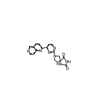 O=C1NC(=O)C2(CCN(c3nccc(-c4ccc5cnccc5n4)n3)C2)N1